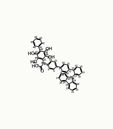 O=C(O)N(c1ccc(-c2ccc(-c3ccccc3-n3c4ccccc4c4ccccc43)cc2)cc1)c1c(O)c(O)c(-c2ccccc2)c(O)c1O